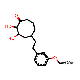 COCOc1cccc(CCC2CCCC(=O)C(O)C(O)C2)c1